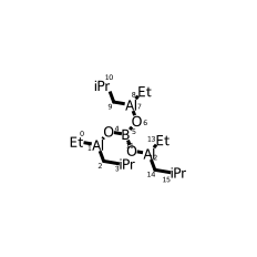 C[CH2][Al]([CH2]C(C)C)[O]B([O][Al]([CH2]C)[CH2]C(C)C)[O][Al]([CH2]C)[CH2]C(C)C